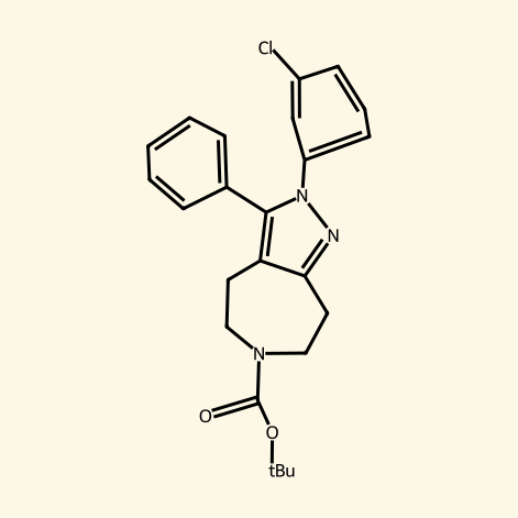 CC(C)(C)OC(=O)N1CCc2nn(-c3cccc(Cl)c3)c(-c3ccccc3)c2CC1